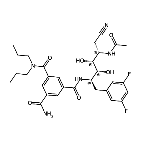 CCCN(CCC)C(=O)c1cc(C(N)=O)cc(C(=O)N[C@H](Cc2cc(F)cc(F)c2)[C@@H](O)[C@H](O)[C@H](CC#N)NC(C)=O)c1